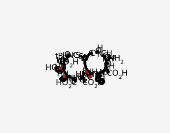 C=C[C@H]1NC(=O)[C@H](Cc2cccc3ccccc23)NC(=O)[C@H](CCC(=O)O)NC(=O)[C@H](CC(N)=O)NC(=O)[C@@H](C)NC(=O)CCSCc2cc3cc(c2)CSC[C@@H](NC1=O)C(=O)N[C@@H](CCC(=O)O)C(=O)N[C@@H](CC(=O)O)C(=O)N[C@@H](Cc1ccccc1)C(=O)N[C@@H](Cc1ccc(O)cc1)C(=O)N[C@@H](CC(=O)O)C(=O)N[C@@H](C(C)(C)C)C(=O)NCCSC3